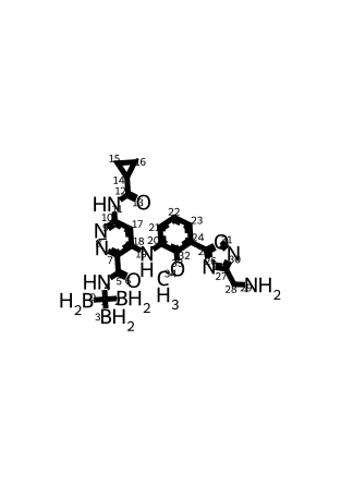 BC(B)(B)NC(=O)c1nnc(NC(=O)C2CC2)cc1Nc1cccc(-c2nc(CN)no2)c1OC